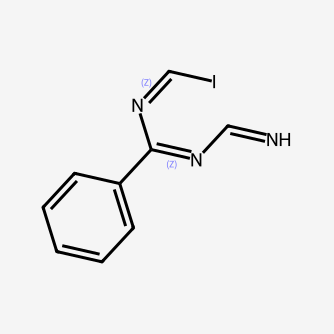 N=C/N=C(\N=C/I)c1ccccc1